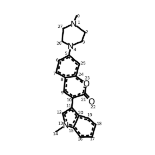 CN1CCN(c2ccc3cc(-c4cn(C)c5ccccc45)c(=O)oc3c2)CC1